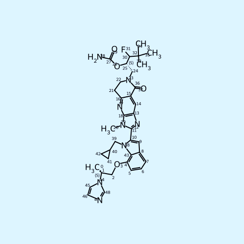 C[C@@H](COc1cccc2cc(-c3nc4cc5c(nc4n3C)CCN(C[C@H](OC(N)=O)C(F)C(C)(C)C)C5=O)n(CC3CC3)c12)n1ccnc1